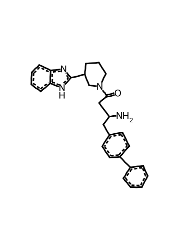 NC(CC(=O)N1CCCC(c2nc3ccccc3[nH]2)C1)Cc1ccc(-c2ccccc2)cc1